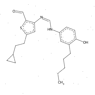 CCCCCc1cc(N/C=N\c2cc(CCC3CC3)sc2C=O)ccc1O